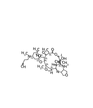 C#CCCN(C)[C@@H]1C[C@H](O[C@@H]2[C@@H](C)C(=O)[C@@H](C)C(=O)O[C@H](I)[C@@](C)(O)[C@@H]3NC4COCC4N=C([C@@H]4CO[C@]2(C)C4)[C@@H]3C)O[C@H](C)C1